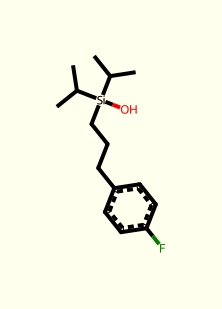 CC(C)[Si](O)(CCCc1ccc(F)cc1)C(C)C